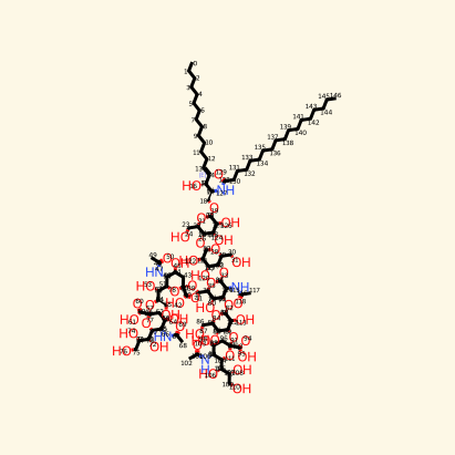 CCCCCCCCCCCCC/C=C/[C@@H](O)[C@H](CO[C@@H]1OC(CO)[C@@H](O[C@@H]2OC(CO)[C@H](O[C@@H]3OC(CO[C@]4(C(=O)O)CC(O)[C@@H](NC(C)=O)C([C@H](O)[C@@H](CO)O[C@]5(C(=O)O)CC(O)[C@@H](NC(C)=O)C([C@H](O)[C@H](O)CO)O5)O4)[C@H](O)[C@H](O[C@@H]4OC(CO)[C@H](O)[C@H](O[C@]5(C(=O)O)CC(O)[C@@H](NC(C)=O)C([C@H](O)[C@H](O)CO)O5)C4O)C3NC(C)=O)[C@H](O)C2O)[C@H](O)C1O)NC(=O)CCCCCCCCCCCCCCCCC